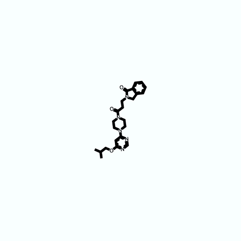 CC(C)COc1cc(N2CCN(C(=O)CCN3Cc4ccccc4C3=O)CC2)ncn1